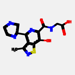 Cc1nsc2c(O)c(C(=O)NCC(=O)O)nc(-c3cnccn3)c12